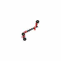 CC(COC(=O)CCCCCCCCOCOc1cccc(OC(=O)c2ccccc2)c1)OCOc1ccccc1